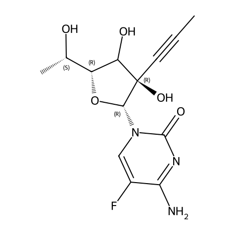 CC#C[C@@]1(O)C(O)[C@@H]([C@H](C)O)O[C@H]1n1cc(F)c(N)nc1=O